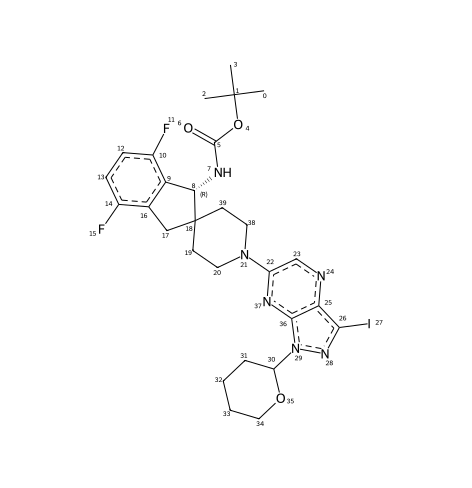 CC(C)(C)OC(=O)N[C@H]1c2c(F)ccc(F)c2CC12CCN(c1cnc3c(I)nn(C4CCCCO4)c3n1)CC2